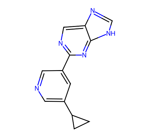 c1nc2cnc(-c3cncc(C4CC4)c3)nc2[nH]1